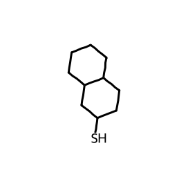 SC1CCC2CCCCC2C1